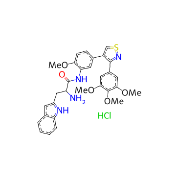 COc1ccc(-c2csnc2-c2cc(OC)c(OC)c(OC)c2)cc1NC(=O)C(N)Cc1cc2ccccc2[nH]1.Cl